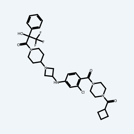 O=C(c1ccc(NC2CN(C3CCN(C(=O)C(O)(c4ccccc4)C(F)(F)F)CC3)C2)cc1Cl)N1CCN(C(=O)C2CCC2)CC1